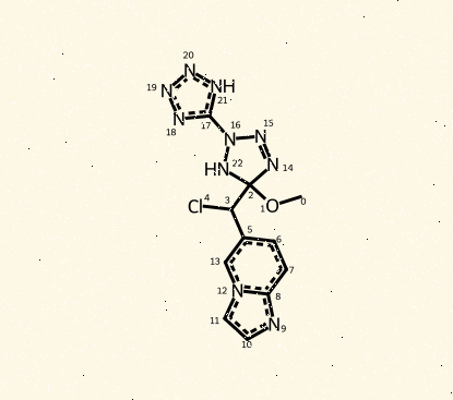 COC1(C(Cl)c2ccc3nccn3c2)N=NN(c2nnn[nH]2)N1